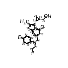 Cc1sc2nc(CN(CCF)c3ccc(F)cc3)cc(=O)n2c1[C@@H]1C[C@H]1CO